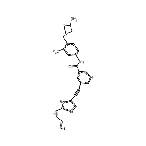 N=C/C=C\c1ncc(C#Cc2cncc(C(=O)Nc3ccc(CN4CC(N)C4)c(C(F)(F)F)c3)c2)[nH]1